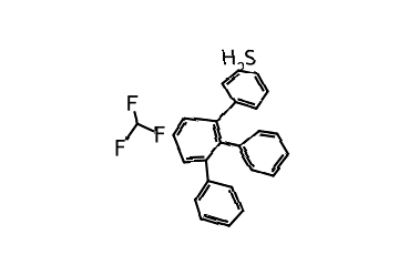 FC(F)F.S.c1ccc(-c2cccc(-c3ccccc3)c2-c2ccccc2)cc1